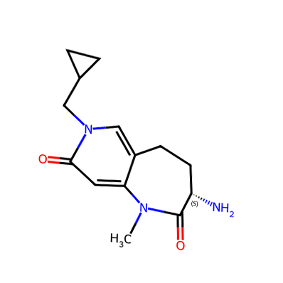 CN1C(=O)[C@@H](N)CCc2cn(CC3CC3)c(=O)cc21